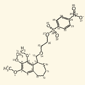 COc1cc2c(c(OC)c1OC)C(COCCOS(=O)(=O)c1ccc([N+](=O)[O-])cc1)SCCC2